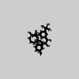 C[C@H](c1cc(C(F)(F)F)cc(C(F)(F)F)c1)N(C)C(=O)CC1(c2ccc(F)cc2)CCCN(C)CC1